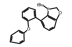 CC(C)(C)P1COc2cccc(-c3ccccc3Oc3ccccc3)c21